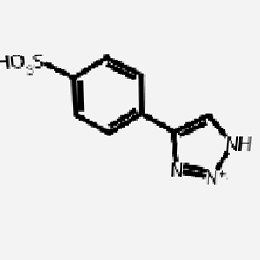 O=S(=O)(O)c1ccc(C2=CN[N+]=N2)cc1